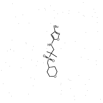 CC(C)(C)c1cc(NCC(C)(C)S(=O)(=O)CC2CCOCC2)on1